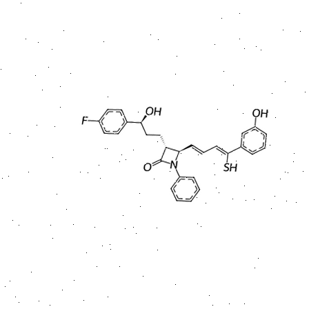 O=C1[C@H](CC[C@H](O)c2ccc(F)cc2)[C@@H](/C=C/C=C(\S)c2cccc(O)c2)N1c1ccccc1